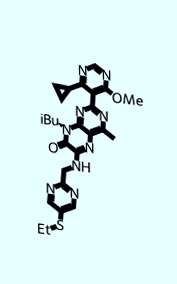 CCSc1cnc(CNc2nc3c(C)nc(-c4c(OC)ncnc4C4CC4)nc3n([C@H](C)CC)c2=O)nc1